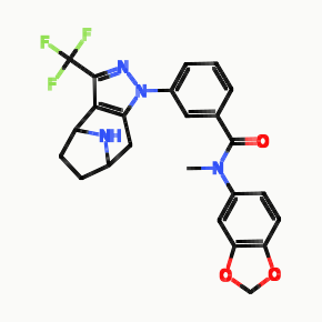 CN(C(=O)c1cccc(-n2nc(C(F)(F)F)c3c2CC2CCC3N2)c1)c1ccc2c(c1)OCO2